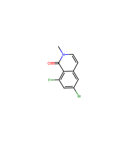 Cn1ccc2cc(Br)cc(F)c2c1=O